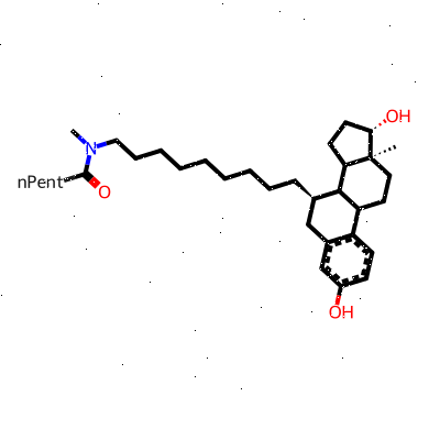 CCCCCC(=O)N(C)CCCCCCCCC[C@@H]1Cc2cc(O)ccc2C2CC[C@@]3(C)C(CC[C@@H]3O)C21